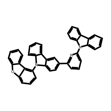 c1cc(-c2ccc3c(c2)c2ccccc2n3-c2cccc3oc4ccccc4c23)nc(-n2c3ccccc3c3ccccc32)c1